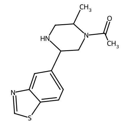 CC(=O)N1CC(c2ccc3scnc3c2)NCC1C